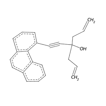 C=CCC(O)(C#Cc1cccc2ccc3ccccc3c12)CC=C